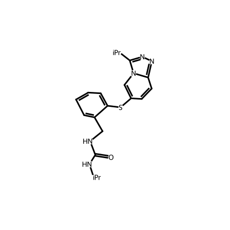 CC(C)NC(=O)NCc1ccccc1Sc1ccc2nnc(C(C)C)n2c1